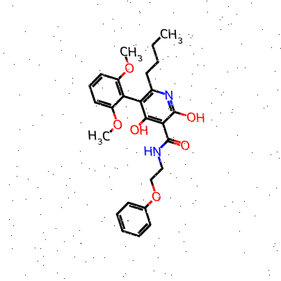 CCCCc1nc(O)c(C(=O)NCCOc2ccccc2)c(O)c1-c1c(OC)cccc1OC